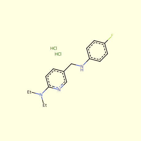 CCN(CC)c1ccc(CNc2ccc(F)cc2)cn1.Cl.Cl